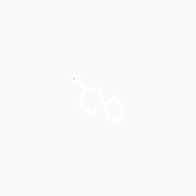 CC(C)C1COC2(CCCC2)O1